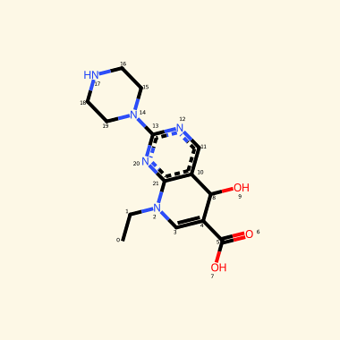 CCN1C=C(C(=O)O)C(O)c2cnc(N3CCNCC3)nc21